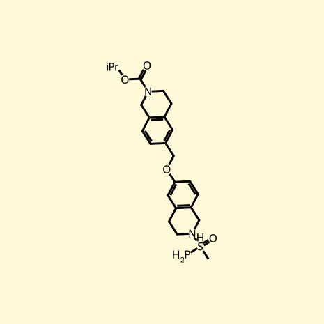 CC(C)OC(=O)N1CCc2cc(COc3ccc4c(c3)CCN([SH](C)(=O)P)C4)ccc2C1